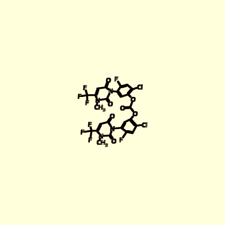 Cn1c(C(F)(F)F)cc(=O)n(-c2cc(OC(=O)Oc3cc(-n4c(=O)cc(C(F)(F)F)n(C)c4=O)c(F)cc3Cl)c(Cl)cc2F)c1=O